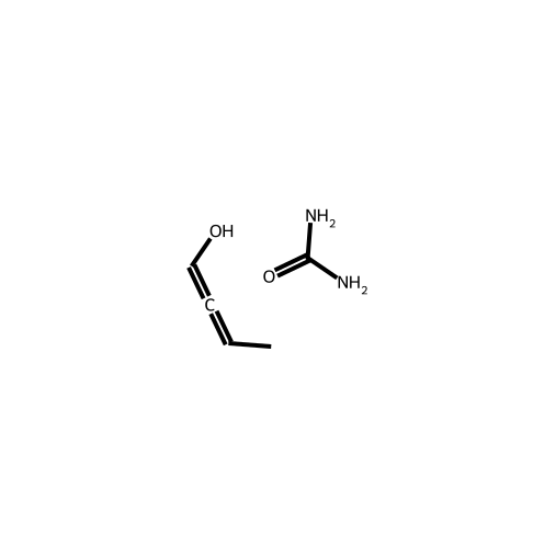 CC=C=CO.NC(N)=O